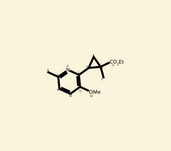 CCOC(=O)C1(C)CC1c1nc(C)ccc1OC